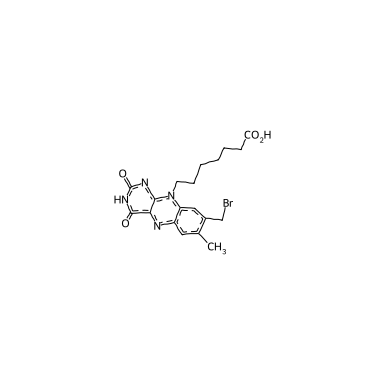 Cc1cc2nc3c(=O)[nH]c(=O)nc-3n(CCCCCCC(=O)O)c2cc1CBr